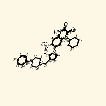 O=c1[nH]c2cc([N+](=O)[O-])c(-n3ccc(CN4CCN(c5ccccc5)CC4)c3)cc2n(C2CCCCC2)c1=O